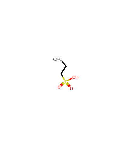 O=[C]CCS(=O)(=O)O